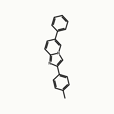 Cc1ccc(-c2cn3cc(-c4ccccc4)ccc3n2)cc1